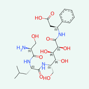 CC(C)C[C@H](NC(=O)[C@@H](N)CO)C(=O)N[C@@H](CO)[C@@H](O)[C@@H](O)[C@H](O)C(=O)N[C@@H](CC(=O)O)c1ccccc1